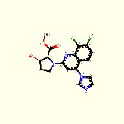 CC(C)(C)OC(=O)[C@@H]1[C@@H](O)CCN1c1cc(-n2ccnc2)c2ccc(Cl)c(Cl)c2n1